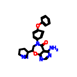 Nc1ncnc2c1C(=O)N(c1ccc(Oc3ccccc3)cc1)CC(C1CCCNC1)O2